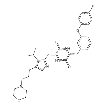 CC(C)c1c(/C=c2\[nH]c(=O)/c(=C/c3cccc(Oc4ccc(F)cc4)c3)[nH]c2=O)ncn1CCCN1CCOCC1